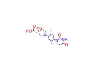 O=C(O)CC1(O)CCN(c2cc(F)c(N3CCC(=O)NC3=O)cc2F)CC1